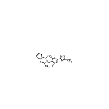 CC(C)(C)C(=O)N1Cc2c(F)cc(-c3noc(C(F)(F)F)n3)cc2OC[C@@H]1c1ccccc1